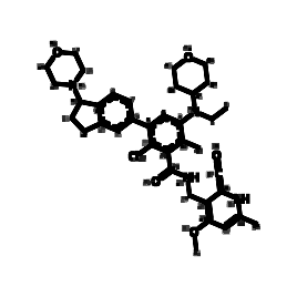 CCN(c1cc(-c2ccc3c(c2)CCC3N2CCOCC2)c(Cl)c(C(=O)NCC2=C(OC)C=C(C)NC2=C=O)c1C)C1CCOCC1